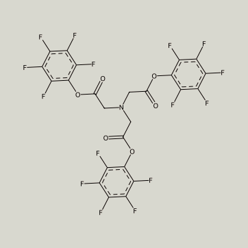 O=C(CN(CC(=O)Oc1c(F)c(F)c(F)c(F)c1F)CC(=O)Oc1c(F)c(F)c(F)c(F)c1F)Oc1c(F)c(F)c(F)c(F)c1F